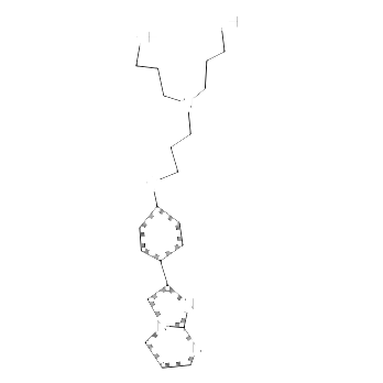 CCCCN(CCCC)CCCOc1ccc(-c2cn3cccnc3n2)cc1